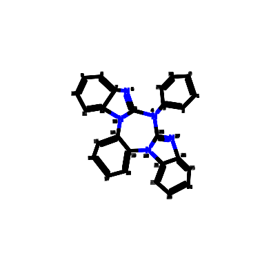 c1ccc(-n2c3nc4ccccc4n3c3ccccc3n3c4ccccc4nc23)cc1